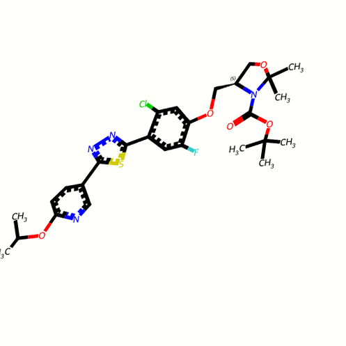 CC(C)Oc1ccc(-c2nnc(-c3cc(F)c(OC[C@H]4COC(C)(C)N4C(=O)OC(C)(C)C)cc3Cl)s2)cn1